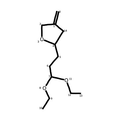 C=C1COC(CCC(OCC)OCC)C1